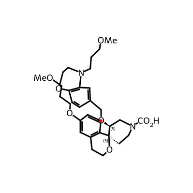 COCCCOc1ccc2c(c1)CCO[C@@]21CCN(C(=O)O)C[C@@H]1OCc1ccc2c(c1)N(CCCOC)CCO2